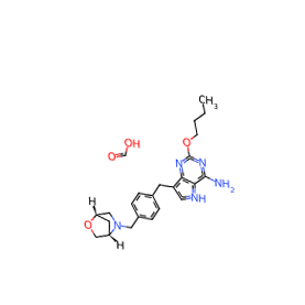 CCCCOc1nc(N)c2[nH]cc(Cc3ccc(CN4C[C@@H]5C[C@H]4CO5)cc3)c2n1.O=CO